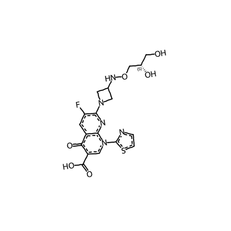 O=C(O)c1cn(-c2nccs2)c2nc(N3CC(NOC[C@@H](O)CO)C3)c(F)cc2c1=O